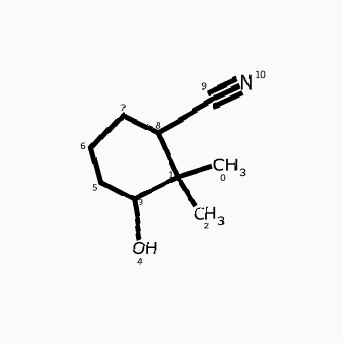 CC1(C)C(O)CCCC1C#N